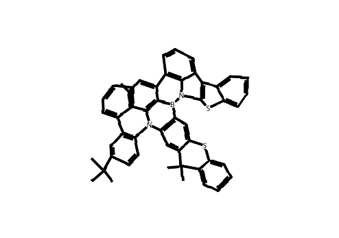 Cc1cc2c3c(c1)N(c1ccc(C(C)(C)C)cc1-c1ccccc1)c1cc4c(cc1B3n1c3sc5ccccc5c3c3cccc-2c31)Sc1ccccc1C4(C)C